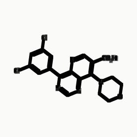 CCOC(=O)c1cnc2c(-c3cc(Cl)cc(Cl)c3)ncnc2c1N1CCOCC1